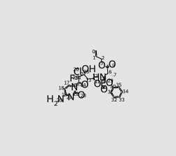 C=CCOC(=O)[C@H](C)N[P@](=O)(OC[C@H]1O[C@@H](n2ccc(N)nc2=O)[C@@](F)(Cl)[C@@H]1O)Oc1ccccc1